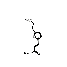 CCCCCC(=O)C=Cc1ccc(CCC(=O)O)s1